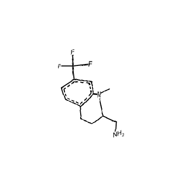 CN1c2cc(C(F)(F)F)ccc2CCC1CN